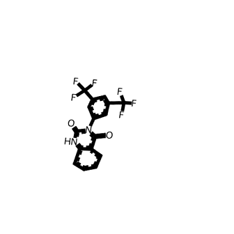 O=c1[nH]c2ccccc2c(=O)n1-c1cc(C(F)(F)F)cc(C(F)(F)F)c1